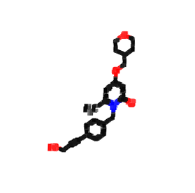 Cc1cc(OCC2CCOCC2)cc(=O)n1Cc1ccc(C#CCO)cc1